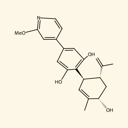 C=C(C)[C@@H]1C[C@H](O)C(C)=C[C@H]1c1c(O)cc(-c2ccnc(OC)c2)cc1O